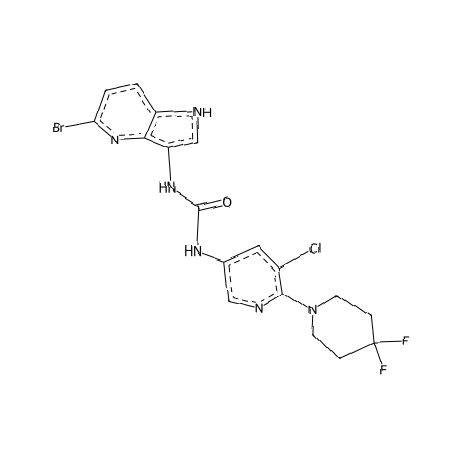 O=C(Nc1cnc(N2CCC(F)(F)CC2)c(Cl)c1)Nc1c[nH]c2ccc(Br)nc12